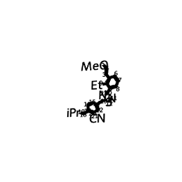 CCc1c(C=COC)cccc1-c1nsc(-c2ccc(CC(C)C)c(C#N)c2)n1